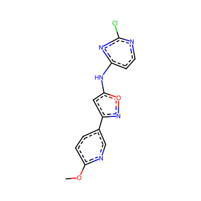 COc1ccc(-c2cc(Nc3ccnc(Cl)n3)on2)cn1